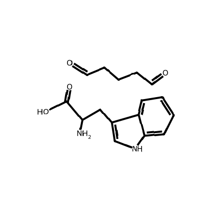 NC(Cc1c[nH]c2ccccc12)C(=O)O.O=CCCCC=O